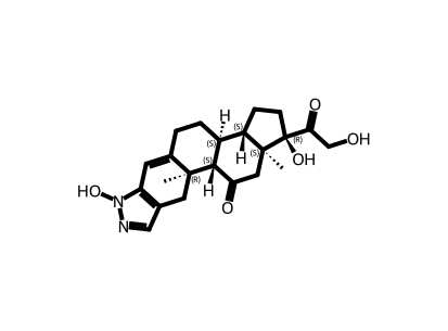 C[C@]12Cc3cnn(O)c3C=C1CC[C@@H]1[C@@H]2C(=O)C[C@@]2(C)[C@H]1CC[C@]2(O)C(=O)CO